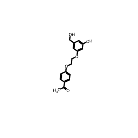 CC(=O)c1ccc(OCCOc2cc(O)cc(CO)c2)cc1